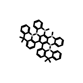 CN1c2ccccc2B2c3c(c4c5c(c31)N(C)c1ccccc1B5N1c3ccccc3C(C)(C)c3cccc-4c31)-c1cccc3c1N2c1ccccc1C3(C)C